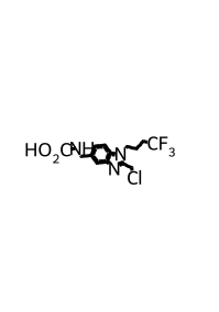 O=C(O)NCc1ccc2c(c1)nc(CCl)n2CCCC(F)(F)F